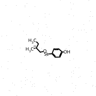 CC[C@H](C)CO[Se]c1ccc(O)cc1